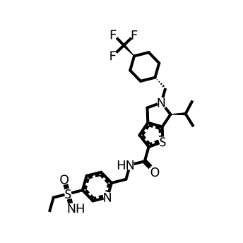 CCS(=N)(=O)c1ccc(CNC(=O)c2cc3c(s2)[C@H](C(C)C)N(C[C@H]2CC[C@H](C(F)(F)F)CC2)C3)nc1